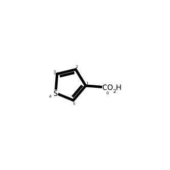 O=C(O)c1c[c]sc1